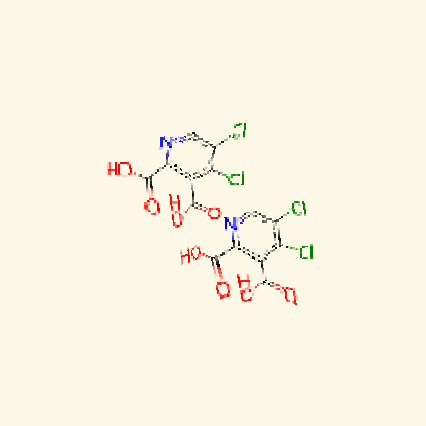 O=C(O)c1ncc(Cl)c(Cl)c1C(=O)O.O=C(O)c1ncc(Cl)c(Cl)c1C(=O)O